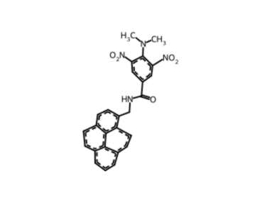 CN(C)c1c([N+](=O)[O-])cc(C(=O)NCc2ccc3ccc4cccc5ccc2c3c45)cc1[N+](=O)[O-]